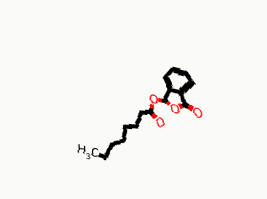 CCCCCCCC(=O)OC1OC(=O)c2ccccc21